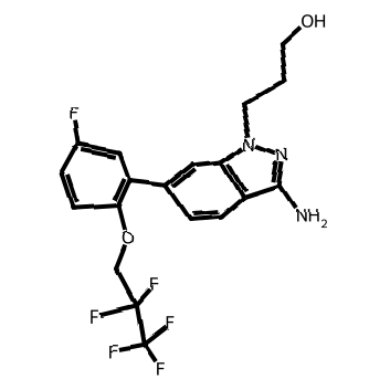 Nc1nn(CCCO)c2cc(-c3cc(F)ccc3OCC(F)(F)C(F)(F)F)ccc12